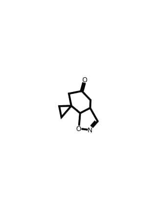 O=C1CC2C=NOC2C2(CC2)C1